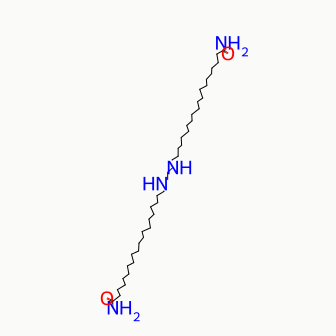 NC(=O)CCCCCCCCCCCCCCCCCCCNCCNCCCCCCCCCCCCCCCCCCCC(N)=O